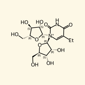 CCC1=C[N+]([C@@H]2O[C@H](CO)[C@@H](O)[C@H]2O)([C@@H]2O[C@H](CO)[C@@H](O)[C@@H]2O)C(=O)NC1=O